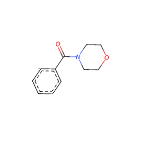 O=C(c1[c]cccc1)N1CCOCC1